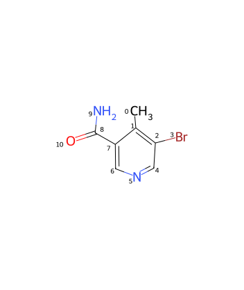 Cc1c(Br)cncc1C(N)=O